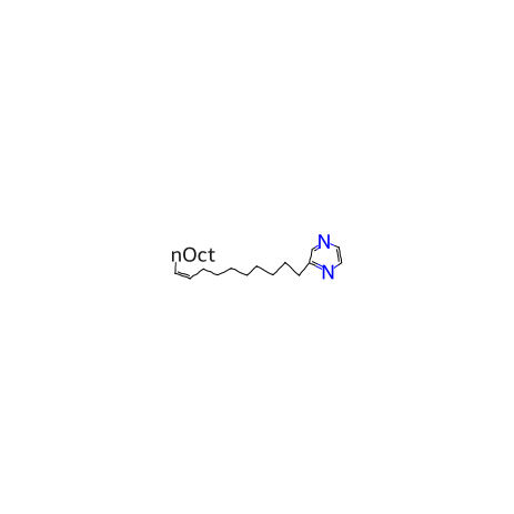 CCCCCCCC/C=C\CCCCCCCCc1cnccn1